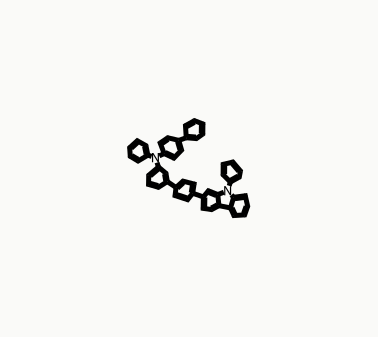 c1ccc(-c2ccc(N(c3ccccc3)c3cccc(-c4ccc(-c5ccc6c7ccccc7n(-c7ccccc7)c6c5)cc4)c3)cc2)cc1